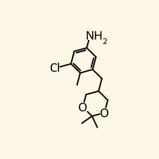 Cc1c(Cl)cc(N)cc1CC1COC(C)(C)OC1